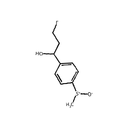 C[S+]([O-])c1ccc(C(O)CCF)cc1